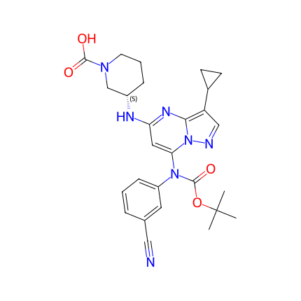 CC(C)(C)OC(=O)N(c1cccc(C#N)c1)c1cc(N[C@H]2CCCN(C(=O)O)C2)nc2c(C3CC3)cnn12